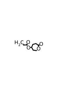 C=CC(=O)OC1CCOC(=O)CC1